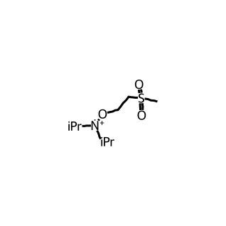 CC(C)[N+](OCCS(C)(=O)=O)C(C)C